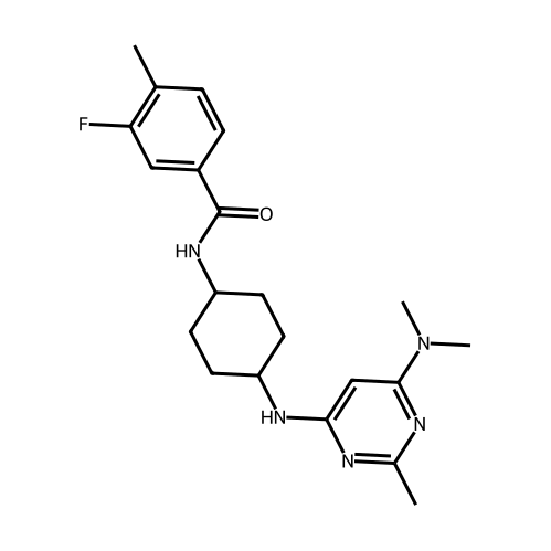 Cc1nc(NC2CCC(NC(=O)c3ccc(C)c(F)c3)CC2)cc(N(C)C)n1